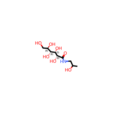 CC(O)CNC(=O)[C@H](O)[C@@H](O)[C@H](O)[C@H](O)CO